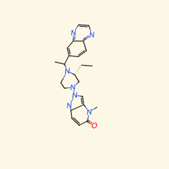 CC[C@@H]1CN(n2cc3c(ccc(=O)n3C)n2)CCN1C(C)c1ccc2nccnc2c1